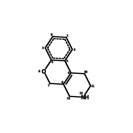 c1ccc2c(c1)OCC1=C2CCNC1